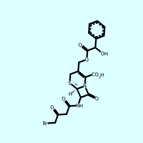 O=C(CBr)CC(=O)NC1C(=O)N2C(C(=O)O)=C(COC(=O)C(O)c3ccccc3)CS[C@H]12